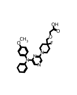 COc1ccc(N(C2=CCCC=C2)c2cncc(N3CCC(F)(COCC(=O)O)CC3)n2)cc1